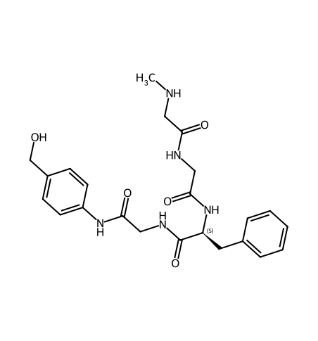 CNCC(=O)NCC(=O)N[C@@H](Cc1ccccc1)C(=O)NCC(=O)Nc1ccc(CO)cc1